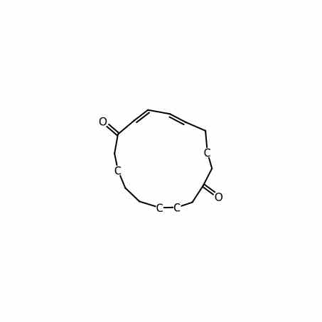 O=C1C=CC=CCCCC(=O)CCCCCCC1